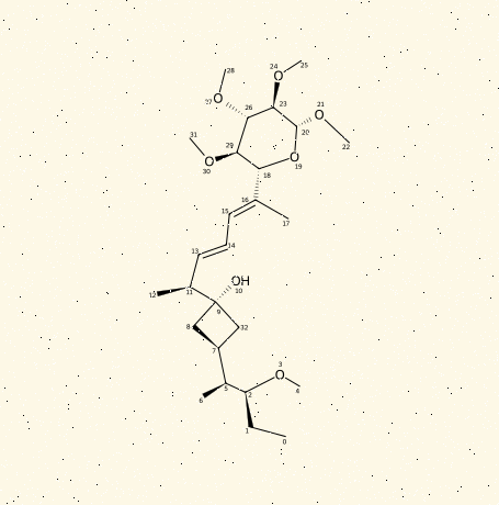 CC[C@H](OC)[C@@H](C)[C@H]1C[C@@](O)([C@@H](C)/C=C/C=C(\C)[C@H]2O[C@@H](OC)[C@H](OC)[C@@H](OC)[C@@H]2OC)C1